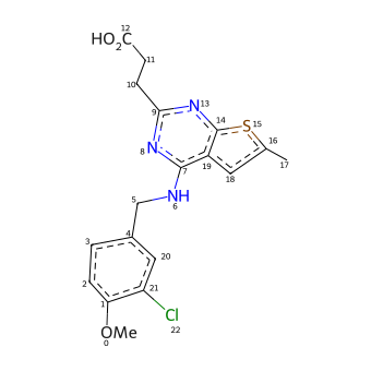 COc1ccc(CNc2nc(CCC(=O)O)nc3sc(C)cc23)cc1Cl